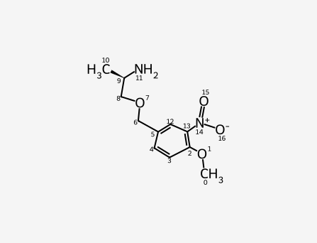 COc1ccc(COC[C@@H](C)N)cc1[N+](=O)[O-]